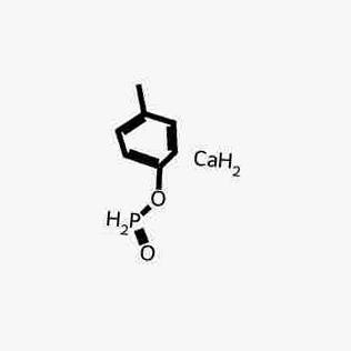 Cc1ccc(O[PH2]=O)cc1.[CaH2]